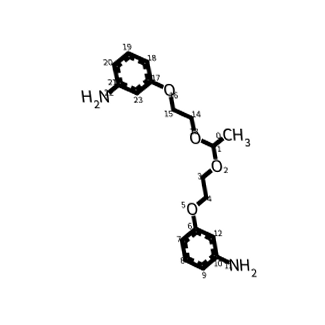 CC(OCCOc1cccc(N)c1)OCCOc1cccc(N)c1